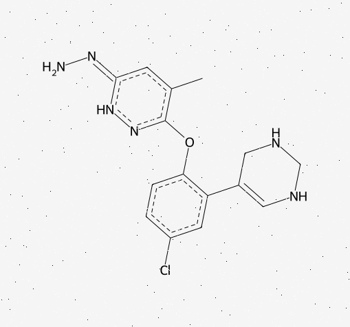 Cc1cc(=NN)[nH]nc1Oc1ccc(Cl)cc1C1=CNCNC1